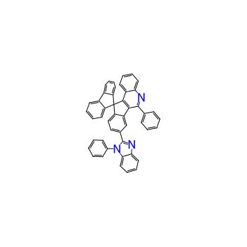 c1ccc(-c2nc3ccccc3c3c2-c2cc(-c4nc5ccccc5n4-c4ccccc4)ccc2C32c3ccccc3-c3ccccc32)cc1